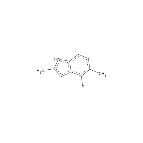 Cc1cc2c(F)c(C)ccc2[nH]1